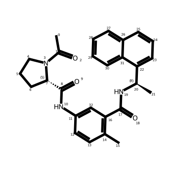 CC(=O)N1CCC[C@H]1C(=O)Nc1ccc(C)c(C(=O)N[C@H](C)c2cccc3ccccc23)c1